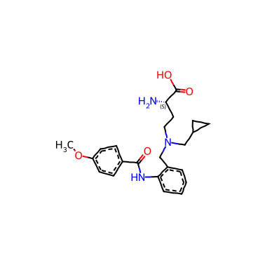 COc1ccc(C(=O)Nc2ccccc2CN(CC[C@H](N)C(=O)O)CC2CC2)cc1